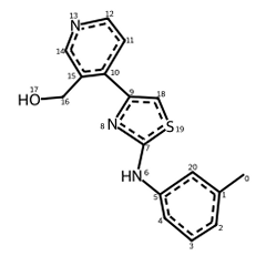 Cc1cccc(Nc2nc(-c3ccncc3CO)cs2)c1